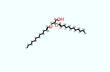 CCCCCCCCCCC=COCC(CO)OC=CCCCCCCCCCC